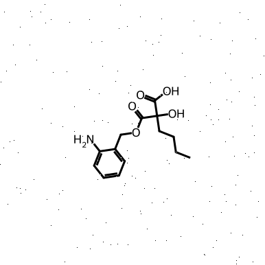 CCCCC(O)(C(=O)O)C(=O)OCc1ccccc1N